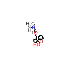 CCN(CC)CCOCCC1CCCC1(C(=O)O)c1ccccc1